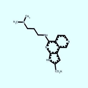 CN(C)CCCNc1nc2[nH]c(C(=O)O)cc2c2cnccc12